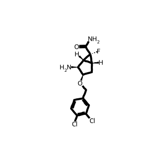 NC(=O)[C@]1(F)[C@H]2[C@H](N)[C@H](OCc3ccc(Cl)c(Cl)c3)C[C@H]21